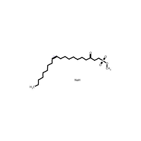 CCCCCCCC/C=C\CCCCCCCC(=O)CCS(=O)(=O)OC.[NaH]